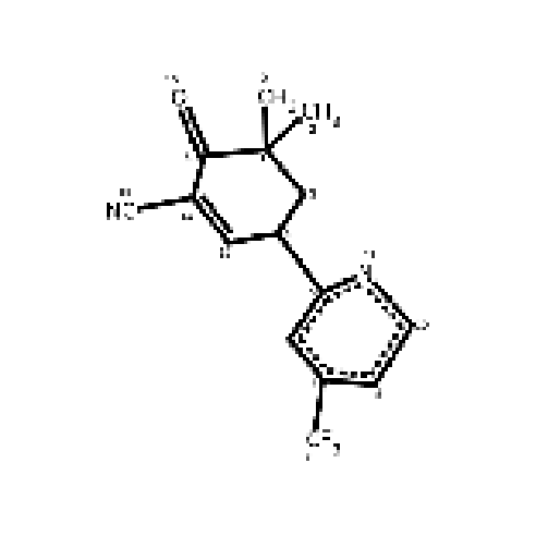 CC1(C)CC(c2cc(C(F)(F)F)ccn2)C=C(C#N)C1=O